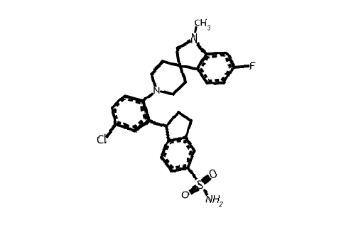 CN1CC2(CCN(c3ccc(Cl)cc3C3CCc4cc(S(N)(=O)=O)ccc43)CC2)c2ccc(F)cc21